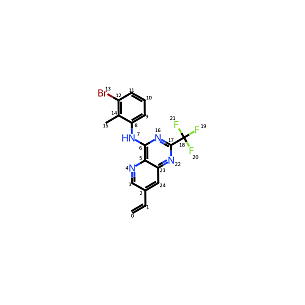 C=Cc1cnc2c(Nc3cccc(Br)c3C)nc(C(F)(F)F)nc2c1